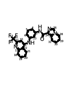 O=C(Nc1cccc(Nc2cc(C(F)(F)F)nc3ccccc23)c1)c1ncn2ccccc12